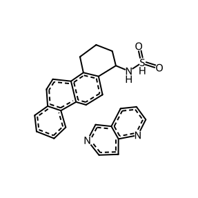 O=[SH](=O)NC1CCCc2c1ccc1c2ccc2ccccc21.c1cnc2ccncc2c1